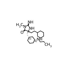 CCCN[C@@H]1CCC[C@H](C[C@@]2(CCC3CCCCC3)NC(=N)N(C)C2=O)C1